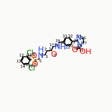 O=C(CCNCS(=O)(=O)c1c(Cl)cccc1Cl)CNCc1ccc(C2=NCCN2C(=O)O)cc1